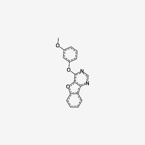 COc1cccc(Oc2ncnc3c2oc2ccccc23)c1